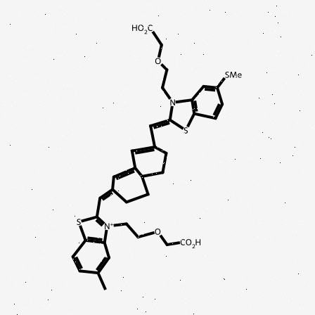 CSc1ccc2c(c1)N(CCOCC(=O)O)/C(=C/C1=CC3=C/C(=C/c4sc5ccc(C)cc5[n+]4CCOCC(=O)O)CCC3CC1)S2